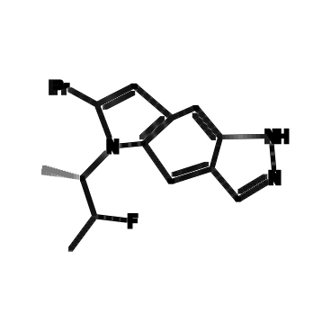 CC(C)c1cc2cc3[nH]ncc3cc2n1[C@@H](C)C(C)F